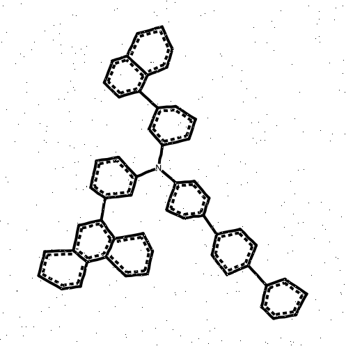 c1ccc(-c2ccc(-c3ccc(N(c4cccc(-c5cccc6ccccc56)c4)c4cccc(-c5cc6ccccc6c6ccccc56)c4)cc3)cc2)cc1